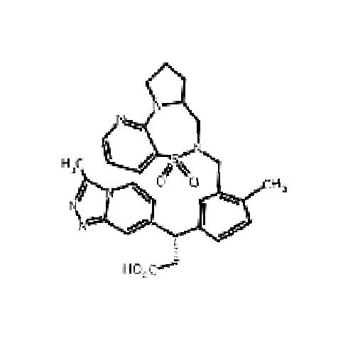 Cc1ccc([C@H](CC(=O)O)c2ccn3c(C)nnc3c2)cc1CN1CC2CCCN2c2ncccc2S1(=O)=O